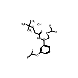 CC(C)(C)[C@H](O)CC(=O)N[C@@H](COC(F)F)c1cccc(OC(F)F)c1